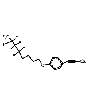 CC(C)(C)C#Cc1ccc(OCCCCC(F)(F)C(F)(F)C(F)(F)C(F)(F)F)cc1